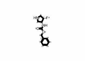 O=C(N[C@@H]1CNC[C@@H]1F)OCc1ccccc1